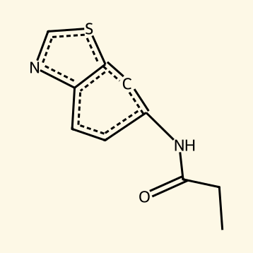 CCC(=O)Nc1ccc2ncsc2c1